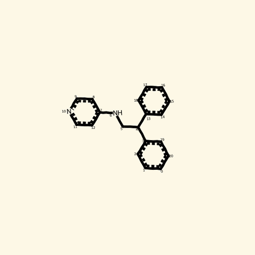 c1ccc(C(CNc2ccncc2)c2ccccc2)cc1